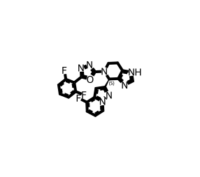 Fc1cccc(F)c1-c1nnc(N2CCc3[nH]cnc3[C@H]2c2cc3c(F)cccn3n2)o1